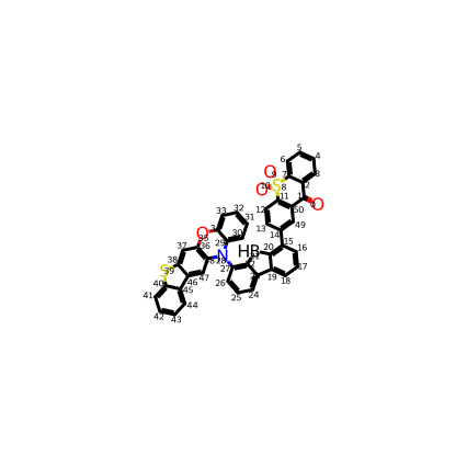 O=C1c2ccccc2S(=O)(=O)c2ccc(-c3cccc4c3Bc3c-4cccc3N3c4ccccc4Oc4cc5sc6ccccc6c5cc43)cc21